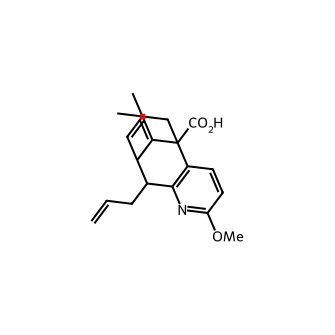 C=CCC1c2nc(OC)ccc2C2(C(=O)O)CC(C)=CC1/C2=C\C